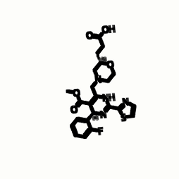 COC(=O)C1=C(CN2CCO[C@@H](CCC(=O)O)C2)NC(c2nccs2)=N[C@H]1c1ccccc1F